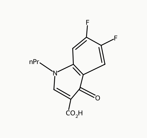 CCCn1cc(C(=O)O)c(=O)c2cc(F)c(F)cc21